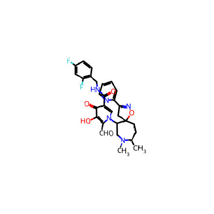 CC1CCC2(CC(c3ccccn3)=NO2)C(n2cc(C(=O)NCc3ccc(F)cc3F)c(=O)c(O)c2C=O)CN1C